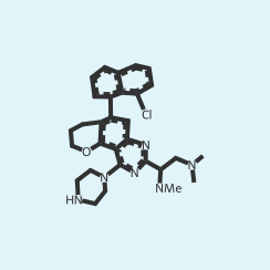 CNC(CN(C)C)c1nc(N2CCNCC2)c2c3c(c(-c4cccc5cccc(Cl)c45)cc2n1)CCCO3